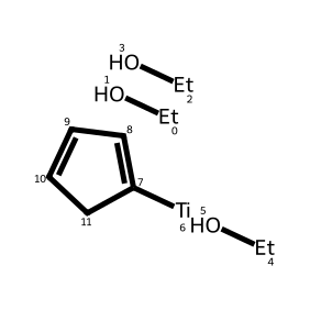 CCO.CCO.CCO.[Ti][C]1=CC=CC1